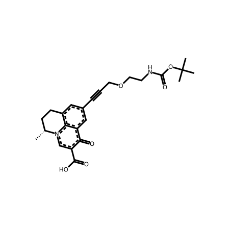 C[C@@H]1CCc2cc(C#CCOCCNC(=O)OC(C)(C)C)cc3c(=O)c(C(=O)O)cn1c23